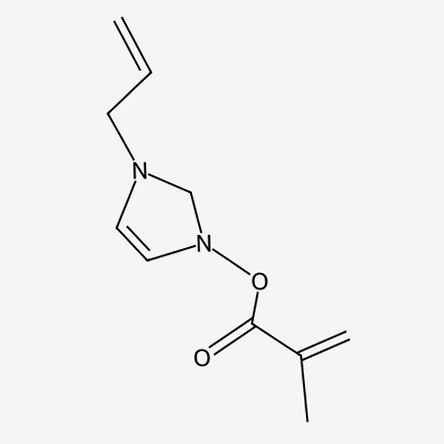 C=CCN1C=CN(OC(=O)C(=C)C)C1